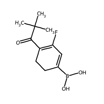 CC(C)(C)C(=O)C1=C(F)C=C(B(O)O)CC1